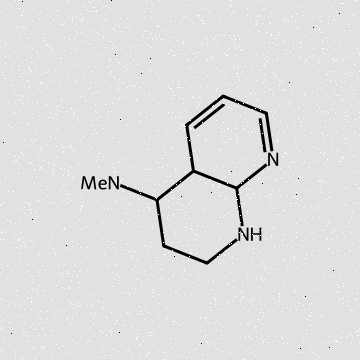 CNC1CCNC2N=CC=CC12